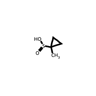 CC1(S(=O)O)CC1